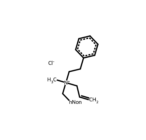 C=CC[N+](C)(CCCCCCCCCC)CCc1ccccc1.[Cl-]